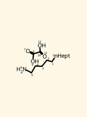 CCCCCCCCCCCCN.O=C(O)C(=O)O